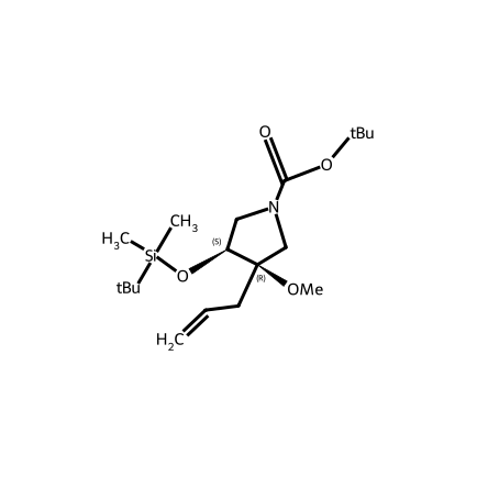 C=CC[C@@]1(OC)CN(C(=O)OC(C)(C)C)C[C@@H]1O[Si](C)(C)C(C)(C)C